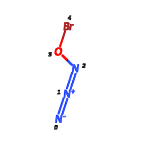 [N-]=[N+]=NOBr